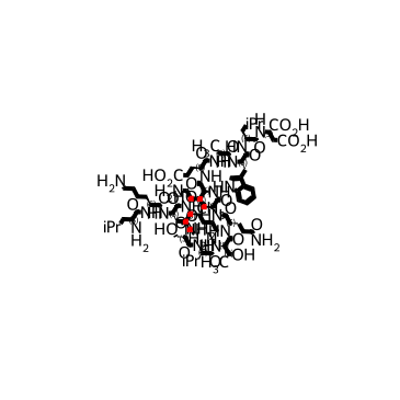 CC(C)C[C@H](NC(=O)[C@H](Cc1c[nH]c2ccccc12)NC(=O)[C@H](C)NC(=O)[C@H](CCC(=O)O)NC(=O)[C@@H](NC(=O)[C@H](CCCCN)NC(=O)[C@H](CCC(N)=O)NC(=O)[C@@H](NC(=O)[C@@H](NC(=O)[C@H](CO)NC(=O)[C@H](CCCCN)NC(=O)[C@H](CC(N)=O)NC(=O)[C@H](CCCCN)NC(=O)[C@@H](N)CC(C)C)C(C)C)[C@@H](C)O)[C@@H](C)O)C(=O)N[C@@H](CC(=O)O)C(=O)O